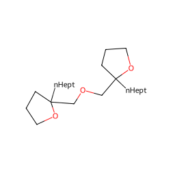 CCCCCCCC1(COCC2(CCCCCCC)CCCO2)CCCO1